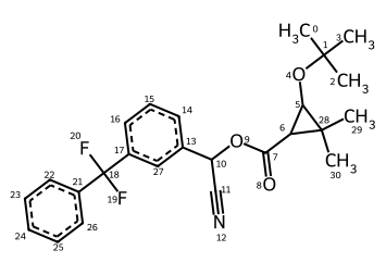 CC(C)(C)OC1C(C(=O)OC(C#N)c2cccc(C(F)(F)c3ccccc3)c2)C1(C)C